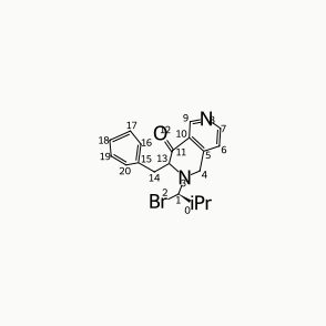 CC(C)[C@@H](Br)N1Cc2ccncc2C(=O)C1Cc1ccccc1